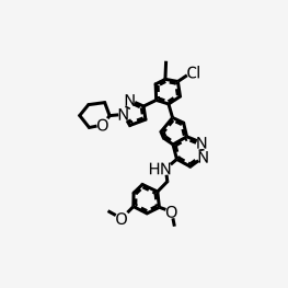 COc1ccc(CNc2cnnc3cc(-c4cc(Cl)c(C)cc4-c4ccn(C5CCCCO5)n4)ccc23)c(OC)c1